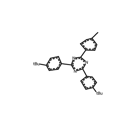 Cc1ccc(-c2nc(-c3ccc(C(C)(C)C)cc3)nc(-c3ccc(C(C)(C)C)cc3)n2)cc1